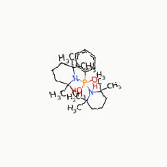 CC1(C)CCCC(C)(C)N1P(O)(O)(c1ccccc1)N1C(C)(C)CCCC1(C)C